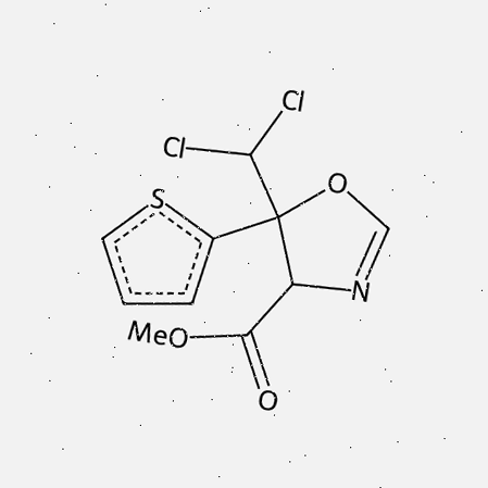 COC(=O)C1N=COC1(c1cccs1)C(Cl)Cl